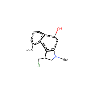 COc1cccc2c(O)cc3c(c12)C(CCl)CN3C(C)(C)C